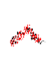 [K+].[O]=[Mn](=[O])(=[O])[O-].[O]=[Mn](=[O])(=[O])[O-].[O]=[Mn](=[O])(=[O])[O-].[O]=[Mn](=[O])(=[O])[O-].[O]=[Mn](=[O])(=[O])[O-].[O]=[Mn](=[O])(=[O])[O-].[V+5]